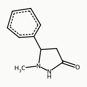 CN1NC(=O)CC1c1ccccc1